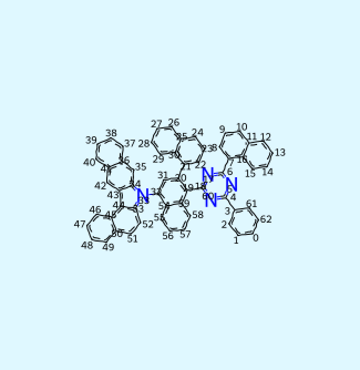 c1ccc(-c2nc(-c3cccc4ccccc34)nc(-c3c(-c4cccc5ccccc45)cc(-n4c5cc6ccccc6cc5c5c6ccccc6ccc54)c4ccccc34)n2)cc1